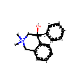 C[N+]1(C)Cc2ccccc2C(O)(c2ccccc2)C1